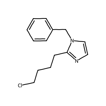 ClCCCCc1nccn1Cc1ccccc1